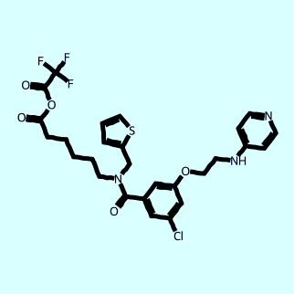 O=C(CCCCCN(Cc1cccs1)C(=O)c1cc(Cl)cc(OCCNc2ccncc2)c1)OC(=O)C(F)(F)F